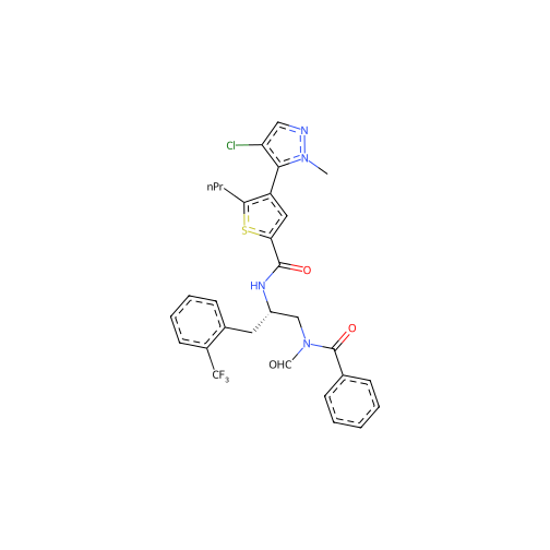 CCCc1sc(C(=O)N[C@@H](Cc2ccccc2C(F)(F)F)CN(C=O)C(=O)c2ccccc2)cc1-c1c(Cl)cnn1C